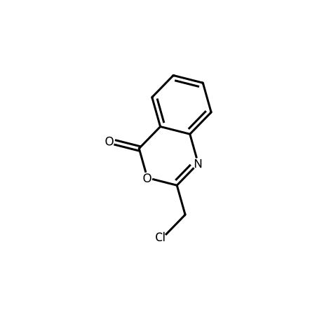 O=c1oc(CCl)nc2ccccc12